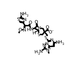 CON=C(C(=O)NC1C(=O)N2CC(CSc3nc(N)cc4n3nc(N)[n+]4C)(C(=O)[O-])CS[C@H]12)c1csc(N)n1